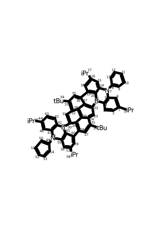 CC(C)c1ccc2c(c1)N(c1ccccc1)c1cc(C(C)C)cc3c1B2c1cc2c(C(C)(C)C)cc4c5c(cc6c(C(C)(C)C)cc-3c1c6c25)B1c2ccc(C(C)C)cc2N(c2ccccc2)c2cc(C(C)C)cc-4c21